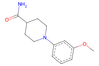 COc1cccc(N2CCC(C(N)=O)CC2)c1